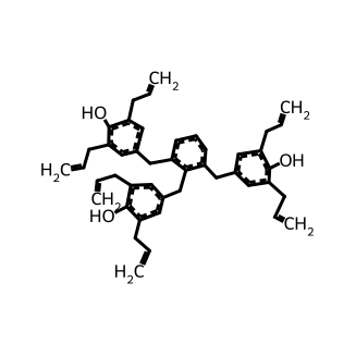 C=CCc1cc(Cc2cccc(Cc3cc(CC=C)c(O)c(CC=C)c3)c2Cc2cc(CC=C)c(O)c(CC=C)c2)cc(CC=C)c1O